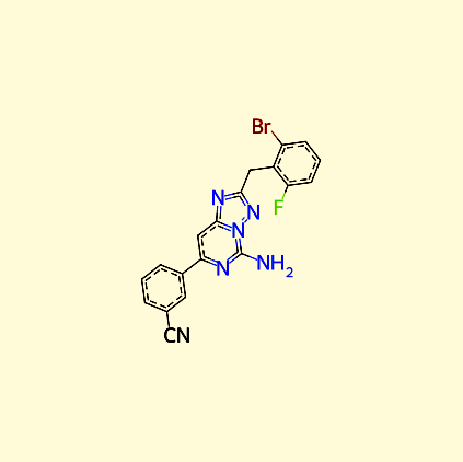 N#Cc1cccc(-c2cc3nc(Cc4c(F)cccc4Br)nn3c(N)n2)c1